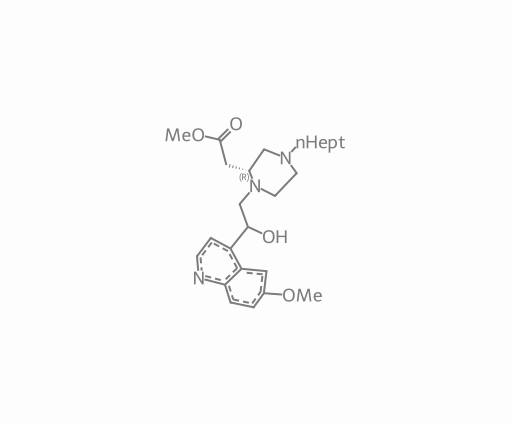 CCCCCCCN1CCN(CC(O)c2ccnc3ccc(OC)cc23)[C@H](CC(=O)OC)C1